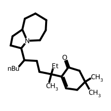 CCCCC(CCC(C)(CC)C1=CCC(C)(C)CC1=O)C1CCC2CCCCCN21